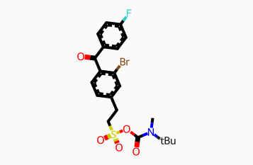 CN(C(=O)OS(=O)(=O)CCc1ccc(C(=O)c2ccc(F)cc2)c(Br)c1)C(C)(C)C